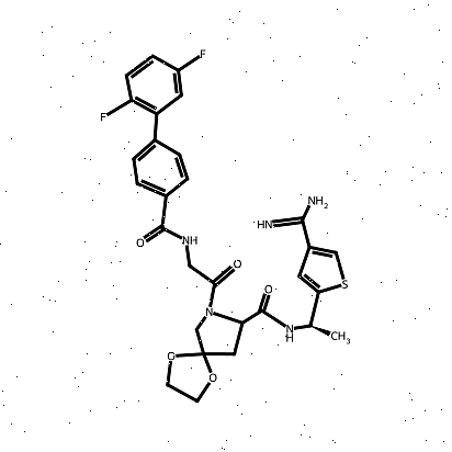 C[C@@H](NC(=O)C1CC2(CN1C(=O)CNC(=O)c1ccc(-c3cc(F)ccc3F)cc1)OCCO2)c1cc(C(=N)N)cs1